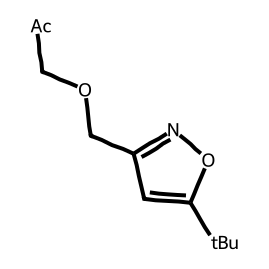 CC(=O)COCc1cc(C(C)(C)C)on1